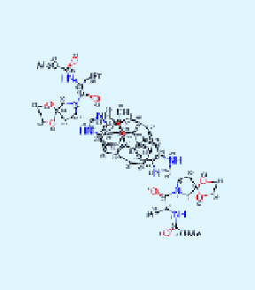 COC(=O)N[C@H](C(=O)N1CC2(C[C@H]1c1nc3cc(-c4cc5ccc4CCc4ccc(c(-c6ccc7[nH]c([C@@H]8CC9(CN8C(=O)[C@@H](NC(=O)OC)C(C)C)OCCO9)nc7c6)c4)C[C@H]5C)ccc3[nH]1)OCCO2)C(C)C